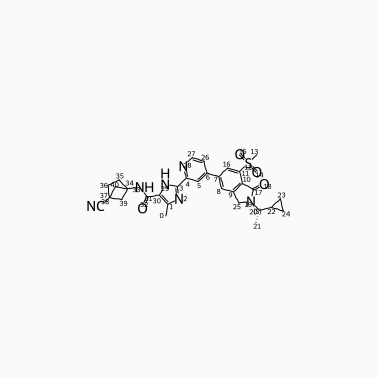 Cc1nc(-c2cc(-c3cc4c(c(S(C)(=O)=O)c3)C(=O)N([C@@H](C)C3CC3)C4)ccn2)[nH]c1C(=O)NC12CCC(C#N)(C1)C2